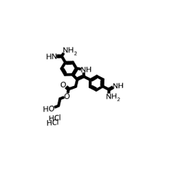 Cl.Cl.N=C(N)c1ccc(-c2[nH]c3cc(C(=N)N)ccc3c2CC(=O)OCCO)cc1